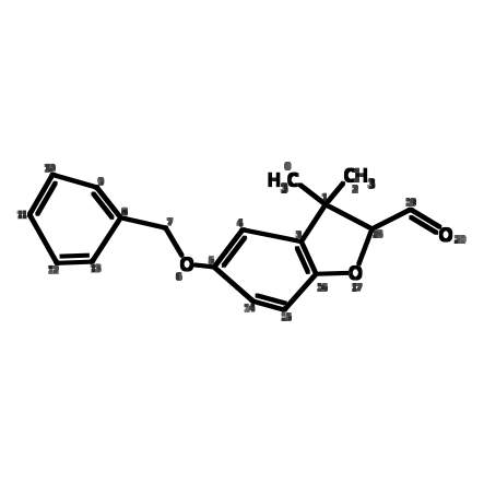 CC1(C)c2cc(OCc3ccccc3)ccc2OC1C=O